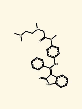 CN(C)CCN(C)CC(=O)N(C)c1ccc(NC(=C2C(=O)Nc3ccccc32)c2ccccc2)cc1